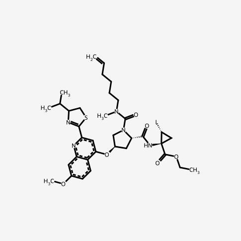 C=CCCCCN(C)C(=O)N1C[C@H](Oc2cc(C3=NC(C(C)C)CS3)nc3cc(OC)ccc23)C[C@H]1C(=O)N[C@]1(C(=O)OCC)C[C@H]1I